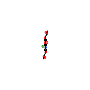 C=CC(=O)OCCCCOc1ccc(/C=N/c2ccc(OC(=O)c3ccc(OCCCCOC(=O)C=C)cc3)cc2Cl)cc1